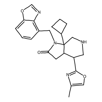 Cc1coc(C2CNCC3(C4CCC4)C2CC(=O)N3Cc2cccc3ocnc23)n1